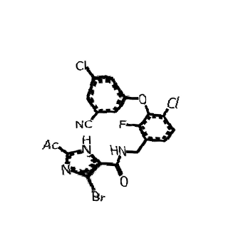 CC(=O)c1nc(Br)c(C(=O)NCc2ccc(Cl)c(Oc3cc(Cl)cc(C#N)c3)c2F)[nH]1